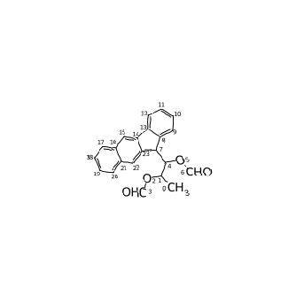 CC(OC=O)C(OC=O)C1c2ccccc2-c2cc3ccccc3cc21